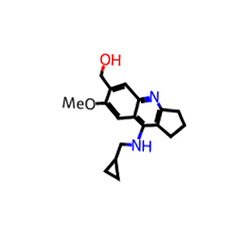 COc1cc2c(NCC3CC3)c3c(nc2cc1CO)CCC3